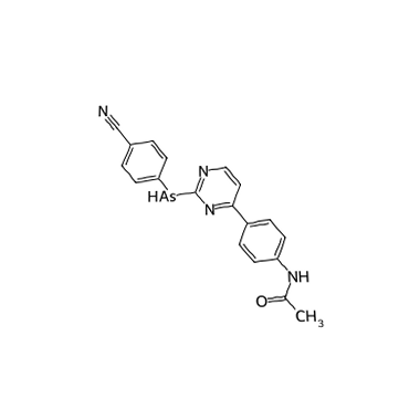 CC(=O)Nc1ccc(-c2ccnc([AsH]c3ccc(C#N)cc3)n2)cc1